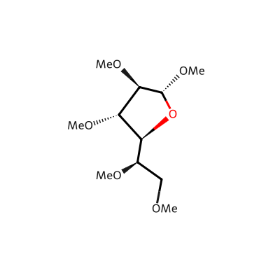 COC[C@@H](OC)[C@@H]1O[C@@H](OC)[C@H](OC)[C@H]1OC